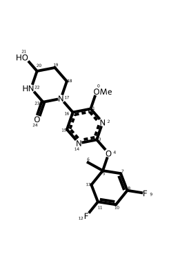 COc1nc(OC2(C)C=C(F)C=C(F)C2)ncc1N1CCC(O)NC1=O